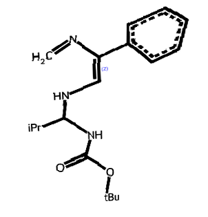 C=N/C(=C\NC(NC(=O)OC(C)(C)C)C(C)C)c1ccccc1